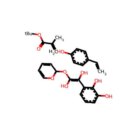 C=C(C)C(=O)OC(C)(C)C.C=Cc1ccc(O)cc1.OC(OC1C=CC=CO1)=C(O)c1cccc(O)c1O